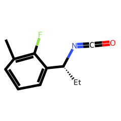 CC[C@@H](N=C=O)c1cccc(C)c1F